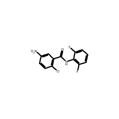 O=C(Nc1c(F)cccc1F)c1cc([N+](=O)[O-])ccc1Cl